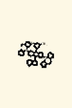 Cc1cc(C)cc(-c2c3cc(N4c5ccccc5CCc5ccccc54)ccc3c(-c3cccc4ccccc34)c3cc(N4c5ccccc5CCc5ccccc54)ccc23)c1